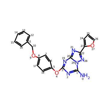 Nc1nc(Oc2ccc(OCc3ccccc3)cc2)nc2nc(-c3ccco3)nn12